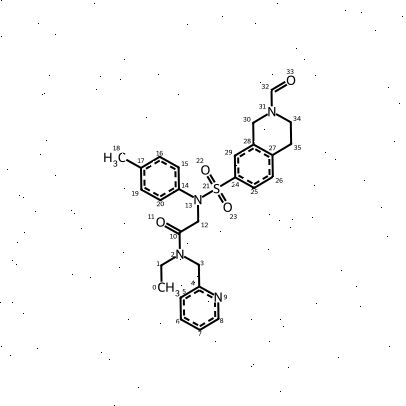 CCN(Cc1ccccn1)C(=O)CN(c1ccc(C)cc1)S(=O)(=O)c1ccc2c(c1)CN(C=O)CC2